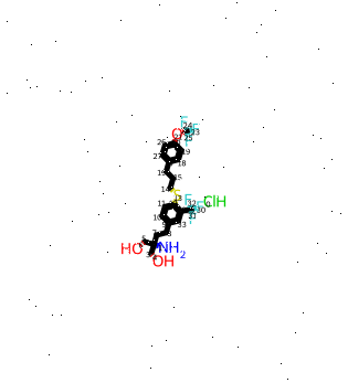 Cl.NC(CO)(CO)CCc1ccc(SCCCc2ccc(OC(F)(F)F)cc2)c(C(F)(F)F)c1